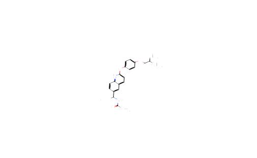 CC(=O)NC(C)c1ccc2nc(Oc3ccc(OCC(C)C)cc3)ccc2c1